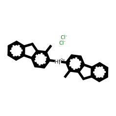 Cc1[c]([Hf+2][c]2ccc3c(c2C)Cc2ccccc2-3)ccc2c1Cc1ccccc1-2.[Cl-].[Cl-]